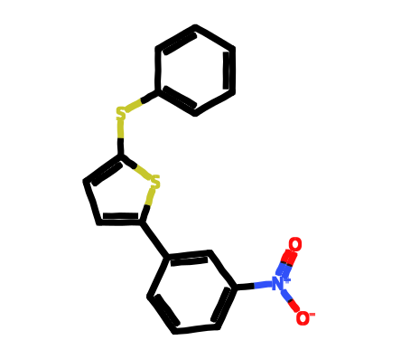 O=[N+]([O-])c1cccc(-c2ccc(Sc3ccccc3)s2)c1